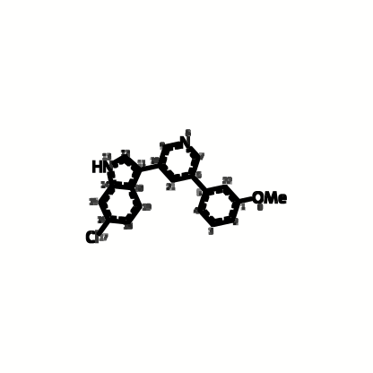 COc1cccc(-c2cncc(-c3c[nH]c4cc(Cl)ccc34)c2)c1